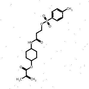 C=C(C)C(=O)OC1CCC(NC(=O)CCOS(=O)(=O)c2ccc(C)cc2)CC1